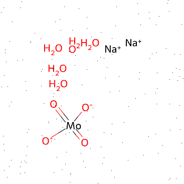 O.O.O.O.O.[Na+].[Na+].[O]=[Mo](=[O])([O-])[O-]